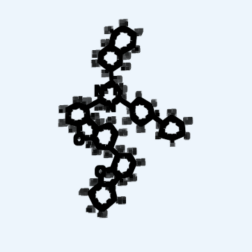 c1ccc(-c2ccc(-c3nc(-c4ccc5ccccc5c4)nc(-c4cccc5oc6cc(-c7cccc8c7oc7ccccc78)ccc6c45)n3)cc2)cc1